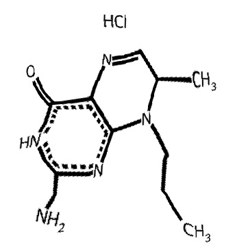 CCCN1c2nc(N)[nH]c(=O)c2N=CC1C.Cl